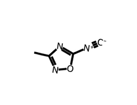 [C-]#[N+]c1nc(C)no1